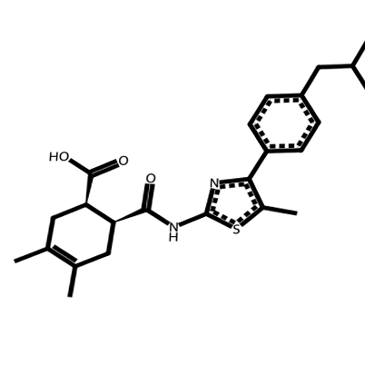 CC1=C(C)C[C@@H](C(=O)O)[C@@H](C(=O)Nc2nc(-c3ccc(CC(C)C)cc3)c(C)s2)C1